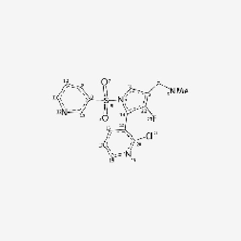 CNCc1cn(S(=O)(=O)c2cccnc2)c(-c2cccnc2Cl)c1F